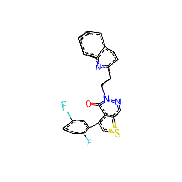 O=c1c2c(-c3cc(F)ccc3F)csc2cnn1CCc1ccc2ccccc2n1